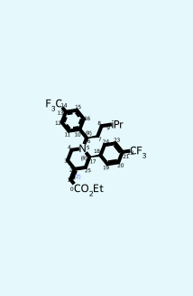 CCOC(=O)/C=C1/CCN([C@H](CCC(C)C)c2ccc(C(F)(F)F)cc2)[C@@H](C2C=CC(C(F)(F)F)=CC2)C1